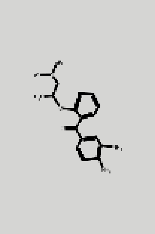 CCCN(CCC)CC(C)Oc1ccccc1C(=O)c1ccc(N)c(N)c1